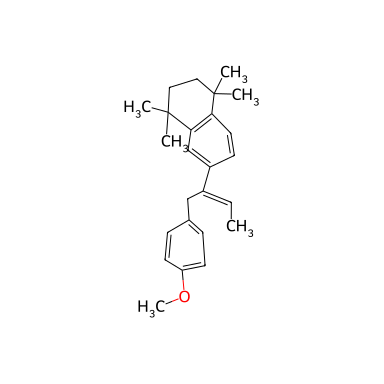 CC=C(Cc1ccc(OC)cc1)c1ccc2c(c1)C(C)(C)CCC2(C)C